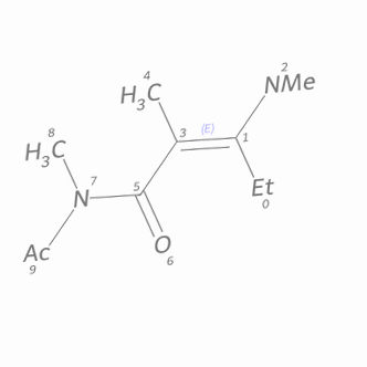 CC/C(NC)=C(/C)C(=O)N(C)C(C)=O